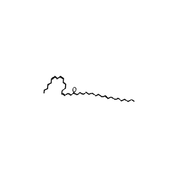 CCCCC/C=C\C/C=C\C/C=C\C/C=C\CCC(=O)CCCCCCCCCC=CCCCCCCCC